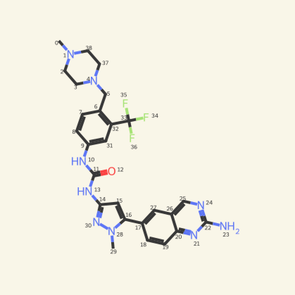 CN1CCN(Cc2ccc(NC(=O)Nc3cc(-c4ccc5nc(N)ncc5c4)n(C)n3)cc2C(F)(F)F)CC1